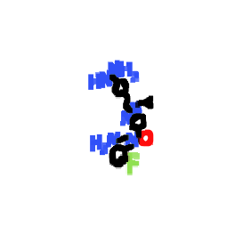 N=C(N)c1ccc(CCc2nc3cc(C(=O)N(CCN)Cc4ccccc4F)ccc3n2CC2CC2)cc1